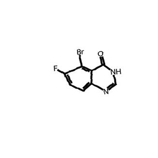 O=c1[nH]cnc2ccc(F)c(Br)c12